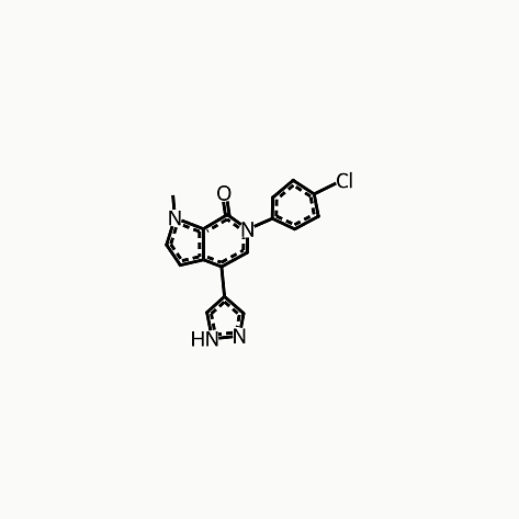 Cn1ccc2c(-c3cn[nH]c3)cn(-c3ccc(Cl)cc3)c(=O)c21